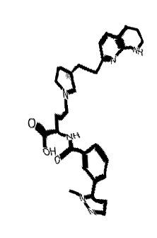 Cn1nccc1-c1cccc(C(=O)NC(CCN2CC[C@@H](CCc3ccc4c(n3)NCCC4)C2)C(=O)O)c1